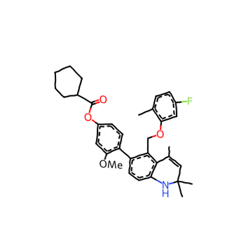 COc1cc(OC(=O)C2CCCCC2)ccc1-c1ccc2c(c1COc1cc(F)ccc1C)C(C)=CC(C)(C)N2